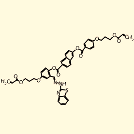 C=CC(=O)OCCCOc1ccc(C(=O)Oc2ccc3cc(C(=O)Oc4ccc(OCCCOC(=O)C=C)cc4/C=N/Nc4nc5ccccc5s4)ccc3c2)cc1